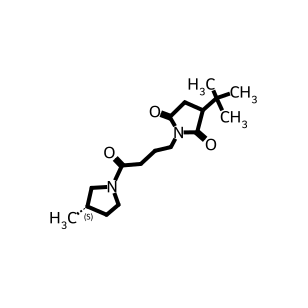 C[C@H]1CCN(C(=O)CCCN2C(=O)CC(C(C)(C)C)C2=O)C1